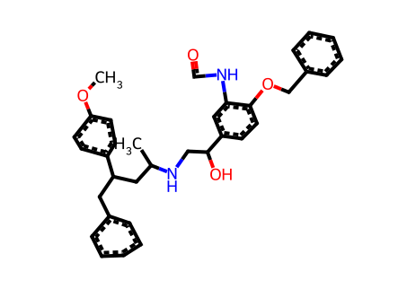 COc1ccc(C(Cc2ccccc2)CC(C)NCC(O)c2ccc(OCc3ccccc3)c(NC=O)c2)cc1